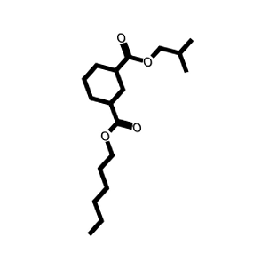 CCCCCCOC(=O)C1CCCC(C(=O)OCC(C)C)C1